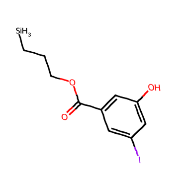 O=C(OCCC[SiH3])c1cc(O)cc(I)c1